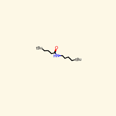 CC(C)(C)CCCCNC(=O)CCCC(C)(C)C